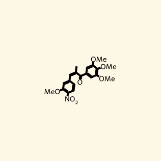 COc1cc(C=C(C)C(=O)c2cc(OC)c(OC)c(OC)c2)ccc1[N+](=O)[O-]